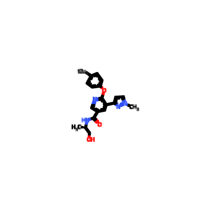 C[C@H](CO)NC(=O)c1cnc(Oc2ccc(C(C)(C)C)cc2)c(-c2ccn(C)n2)c1